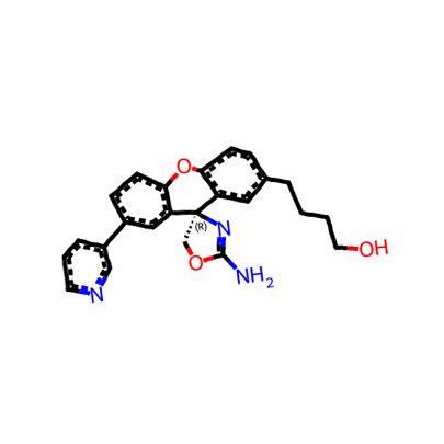 NC1=N[C@]2(CO1)c1cc(CCCCO)ccc1Oc1ccc(-c3cccnc3)cc12